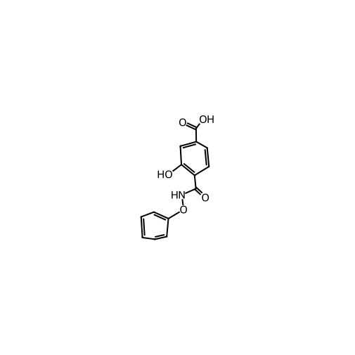 O=C(O)c1ccc(C(=O)NOc2ccccc2)c(O)c1